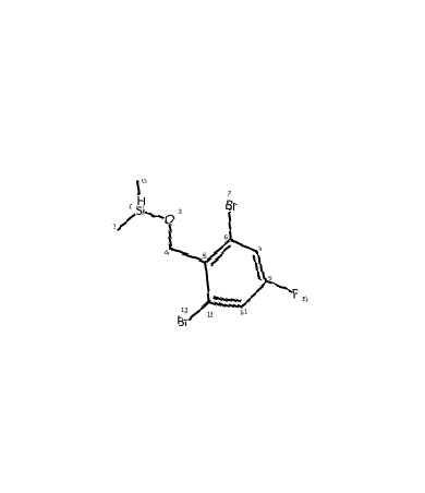 C[SiH](C)OCc1c(Br)cc(F)cc1Br